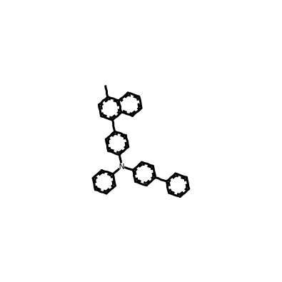 Cc1ccc(-c2ccc(N(c3ccccc3)c3ccc(-c4ccccc4)cc3)cc2)c2ccccc12